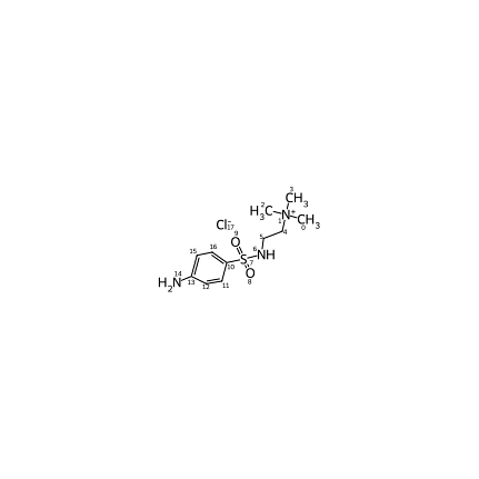 C[N+](C)(C)CCNS(=O)(=O)c1ccc(N)cc1.[Cl-]